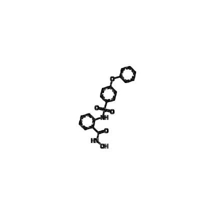 O=C(NO)c1ccccc1NS(=O)(=O)c1ccc(Oc2ccccc2)cc1